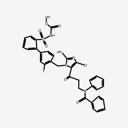 CCCOC(=O)NS(=O)(=O)c1ccccc1-c1ccc(Cn2c(CCC)nc(CC)c2C(=O)CCN(C(=O)c2ccccc2)c2ccccc2)c(F)c1